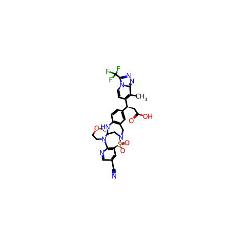 Cc1c([C@@H](CC(=O)O)c2ccc3c(c2)CN2C[C@]4(COCCN4c4ncc(C#N)cc4S2(=O)=O)N3)ccn2c(C(F)(F)F)nnc12